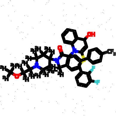 [2H]C([2H])([2H])OC([2H])([2H])C([2H])([2H])N1C([2H])([2H])C([2H])([2H])C([2H])(N(C(=O)CN2C(SCc3cccc(F)c3F)=CC(O)c3ccccc32)C([2H])(C)c2ccc(-c3ccc(C(F)(F)F)cc3)cc2)C([2H])([2H])C1([2H])[2H]